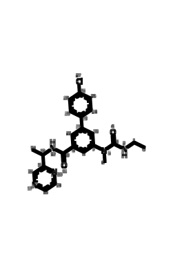 CCNC(=O)N(C)c1cc(C(=O)NC(C)c2cnccn2)cc(-c2ccc(Cl)cc2)c1